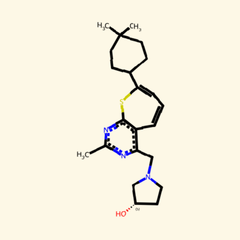 Cc1nc(CN2CC[C@H](O)C2)c2c(n1)SC(C1CCC(C)(C)CC1)=CC=C2